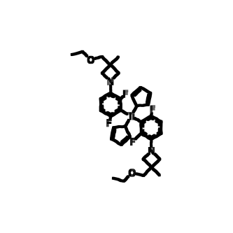 CCOCC1(C)CN(c2ccc(F)[c]([Ti]([c]3c(F)ccc(N4CC(C)(COCC)C4)c3F)([CH]3C=CC=C3)[CH]3C=CC=C3)c2F)C1